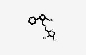 Cc1noc(-c2ccccc2)c1CSCC1OCC(O)C1O